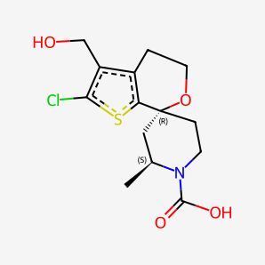 C[C@H]1C[C@@]2(CCN1C(=O)O)OCCc1c2sc(Cl)c1CO